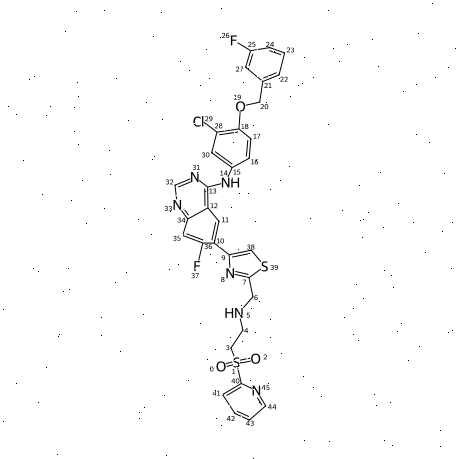 O=S(=O)(CCNCc1nc(-c2cc3c(Nc4ccc(OCc5cccc(F)c5)c(Cl)c4)ncnc3cc2F)cs1)c1ccccn1